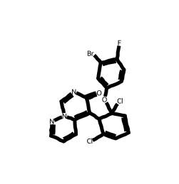 O=c1ncn2ncccc2c1C1C(Cl)=CC=CC1(Cl)Oc1ccc(F)c(Br)c1